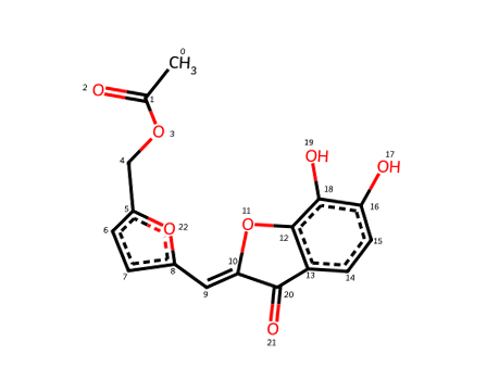 CC(=O)OCc1ccc(C=C2Oc3c(ccc(O)c3O)C2=O)o1